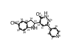 O=c1[nH]nc(-c2ccncc2)cc1C1Cc2cc(Cl)ccc2N1